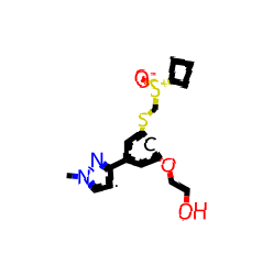 Cn1c[c]c(-c2cc(OCCO)cc(SC[S+]([O-])C3CCC3)c2)n1